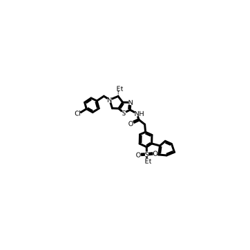 CC[C@@H]1c2nc(NC(=O)Cc3ccc(S(=O)(=O)CC)c(-c4ccccc4)c3)sc2CN1Cc1ccc(Cl)cc1